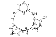 Clc1cnc2nc1Nc1cccc(c1)CCc1cncc(c1)N2